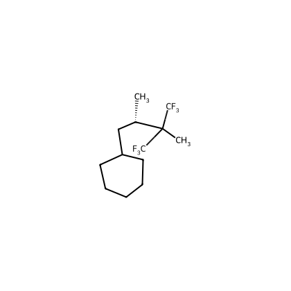 C[C@@H](CC1CCCCC1)C(C)(C(F)(F)F)C(F)(F)F